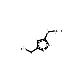 O=C(O)Oc1cc(CO)on1